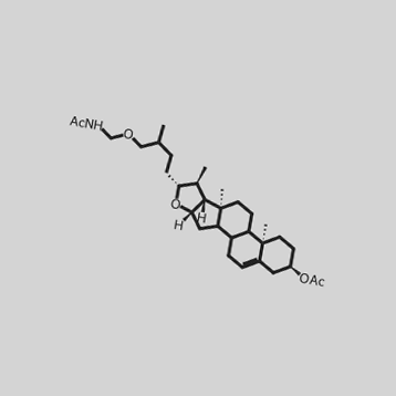 CC(=O)NCOCC(C)CC[C@H]1O[C@H]2CC3C4CC=C5C[C@H](OC(C)=O)CC[C@]5(C)C4CC[C@]3(C)[C@H]2[C@@H]1C